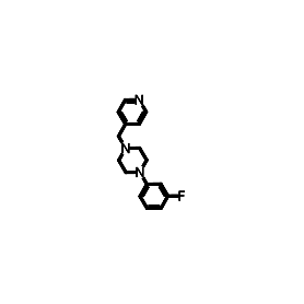 Fc1cccc(N2CCN(Cc3ccncc3)CC2)c1